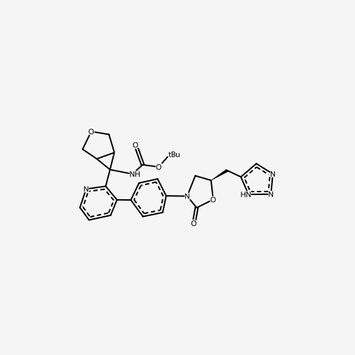 CC(C)(C)OC(=O)NC1(c2ncccc2-c2ccc(N3C[C@@H](Cc4cnn[nH]4)OC3=O)cc2)C2COCC21